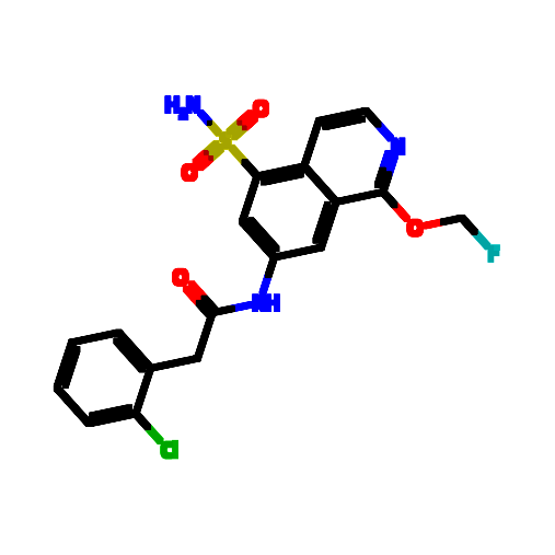 NS(=O)(=O)c1cc(NC(=O)Cc2ccccc2Cl)cc2c(OCF)nccc12